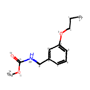 CC(C)CCOc1cccc(CNC(=O)OC(C)(C)C)c1